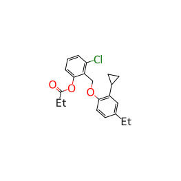 CCC(=O)Oc1cccc(Cl)c1COc1ccc(CC)cc1C1CC1